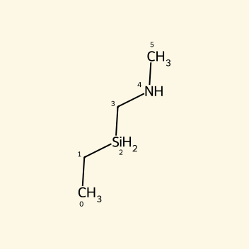 CC[SiH2]CNC